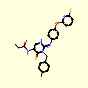 CCC(=O)Nc1c[nH]/c(=N\c2ccc(Oc3cccc(F)n3)cc2)n(Cc2ccc(Cl)cc2)c1=O